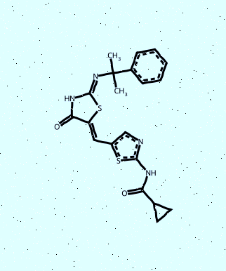 CC(C)(/N=C1/NC(=O)/C(=C/c2cnc(NC(=O)C3CC3)s2)S1)c1ccccc1